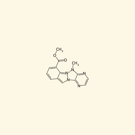 COC(=O)c1cccc2cn3c4nccnc4n(C)[n+]3c12